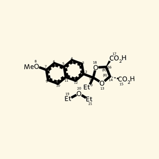 CCC1(c2ccc3cc(OC)ccc3c2)O[C@@H](C(=O)O)[C@H](C(=O)O)O1.CCOCC